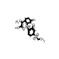 CCS(=O)(=O)c1ccc(Nc2cc(Cl)ccc2C(C)C(=O)O)c(Cl)c1